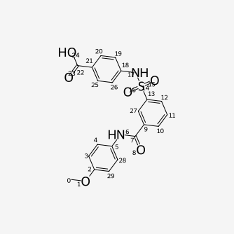 COc1ccc(NC(=O)c2cccc(S(=O)(=O)Nc3ccc(C(=O)O)cc3)c2)cc1